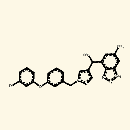 CCCC(c1cnn(Cc2cccc(Oc3cccc(CC)c3)c2)c1)c1cc(N)cc2[nH]nnc12